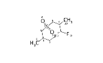 CC(CF)CS(=O)(=O)CC(C)CF